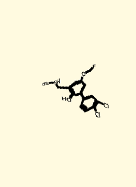 CC(C)(C)NCc1cc(OCF)cc(-c2ccc(Cl)c(Cl)c2)c1O